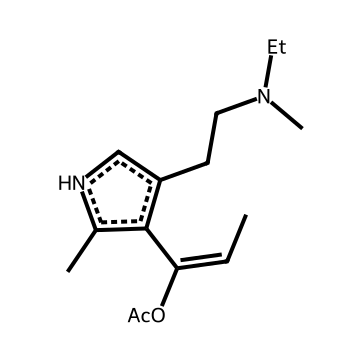 C/C=C(/OC(C)=O)c1c(CCN(C)CC)c[nH]c1C